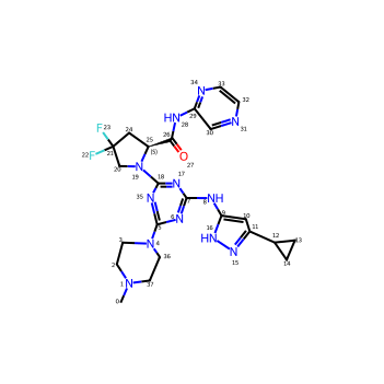 CN1CCN(c2nc(Nc3cc(C4CC4)n[nH]3)nc(N3CC(F)(F)C[C@H]3C(=O)Nc3cnccn3)n2)CC1